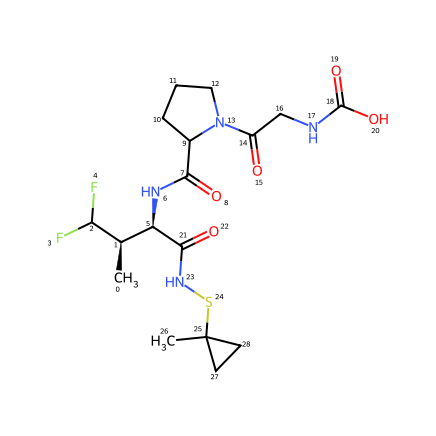 C[C@@H](C(F)F)[C@@H](NC(=O)C1CCCN1C(=O)CNC(=O)O)C(=O)NSC1(C)CC1